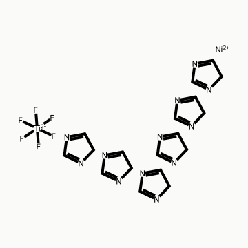 C1=NC=NC1.C1=NC=NC1.C1=NC=NC1.C1=NC=NC1.C1=NC=NC1.C1=NC=NC1.[F][Ti-2]([F])([F])([F])([F])[F].[Ni+2]